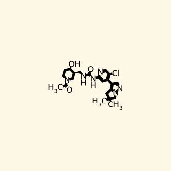 CC(=O)N1CC[C@@H](O)[C@@H](CNC(=O)Nc2cc(-c3cnn4c3CC(C)(C)C4)c(Cl)cn2)C1